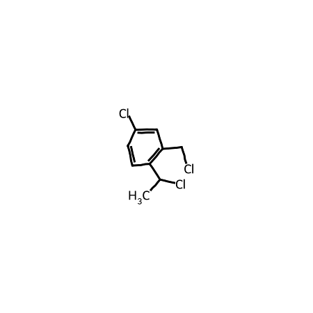 CC(Cl)c1ccc(Cl)cc1CCl